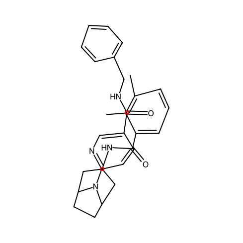 Cc1cccc(C(=O)NC2CC3CCC(C2)N3c2ccc(C(=O)NCc3ccccc3)cn2)c1C